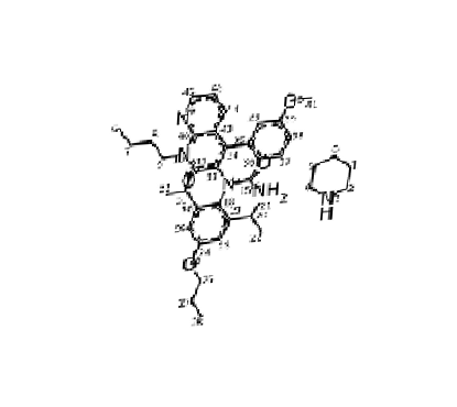 C1CCNCC1.CCCCn1c(=O)c(N(C(N)=O)c2c(C(C)C)cc(OCCC)cc2C(C)C)c(-c2cccc(OC)c2)c2cccnc21